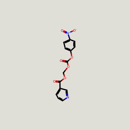 O=C(OCOC(=O)c1cccnc1)Oc1ccc([N+](=O)[O-])cc1